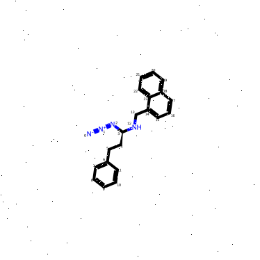 [N-]=[N+]=N[C@H](CCc1ccccc1)NCc1cccc2ccccc12